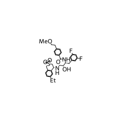 CCc1ccc2c(c1)[C@@H](NC[C@@H](O)[C@H](Cc1cc(F)cc(F)c1)NC(=O)c1ccc(CCOC)cc1)CS(=O)(=O)C2